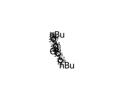 CCCC[C@H]1CC[C@H](C2CCC3(CC2)CC2(CCC([C@H]4CC[C@H](CCCC)CC4)CC2)C3=O)CC1